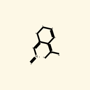 C=N/C=C1/CCC=CC1=C(C)C